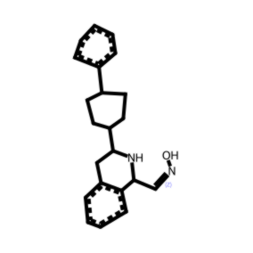 O/N=C\C1NC(C2CCC(c3ccccc3)CC2)Cc2ccccc21